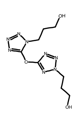 OCCCn1nnc(Oc2nnnn2CCCO)n1